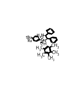 CC(C)(C)c1ccc(S(=O)(=O)N[C@H](c2ccccc2)[C@H](N)c2ccccc2)cc1.Cc1cc(C)c(C)c(C)c1C.[Ru]